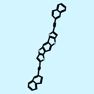 C(#Cc1cc2sc3cc4c(cc3c2s1)sc1cc(C#Cc2ccc3ccccc3c2)sc14)c1ccc2ccccc2c1